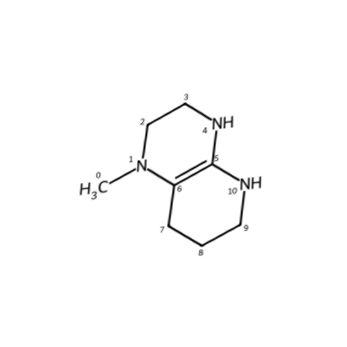 CN1CCNC2=C1CCCN2